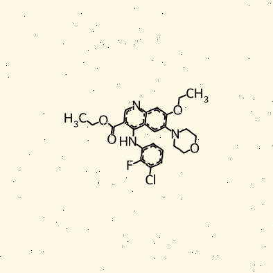 CCOC(=O)c1cnc2cc(OCC)c(N3CCOCC3)cc2c1Nc1cccc(Cl)c1F